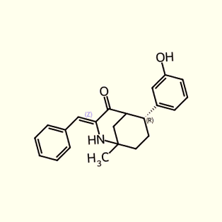 CC12CC[C@@H](c3cccc(O)c3)C(C1)C(=O)/C(=C/c1ccccc1)N2